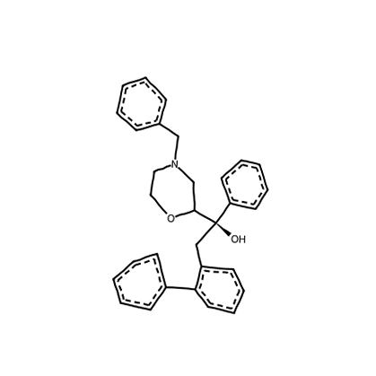 O[C@](Cc1ccccc1-c1ccccc1)(c1ccccc1)C1CN(Cc2ccccc2)CCO1